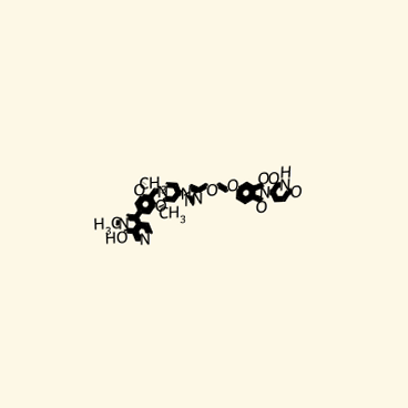 COc1cc(C2=CN(C)C(O)c3cnccc32)cc(OC)c1CN1CCC(n2cc(COCCOc3ccc4c(c3)C(=O)N(C3CCC(=O)NC3=O)C4=O)nn2)CC1